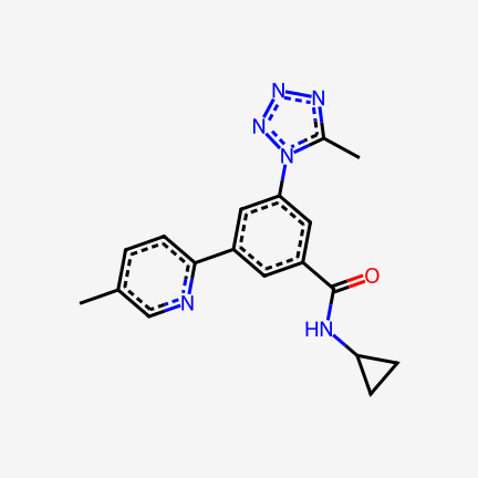 Cc1ccc(-c2cc(C(=O)NC3CC3)cc(-n3nnnc3C)c2)nc1